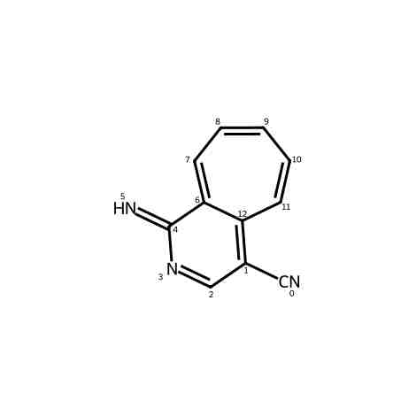 N#Cc1cnc(=N)c2cccccc1-2